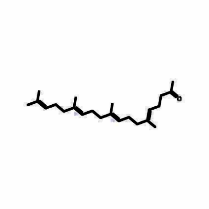 CC(=O)CCC=C(C)CC/C=C(\C)CC/C=C(\C)CCC=C(C)C